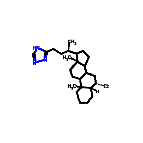 CC[C@H]1CC2C3CCC([C@H](C)CCc4nnc[nH]4)[C@@]3(C)CCC2[C@@]2(C)CCCC[C@@H]12